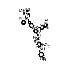 CNS(=O)(=O)N1CCN(C2CC3(CCN(c4ccc(C(=O)NS(=O)(=O)c5cnc(NCC6CCC(C)(O)CC6)c([N+](=O)[O-])c5)c(Oc5cc6c(F)c[nH]c6nc5OC)c4)CC3)C2)[C@H](c2ccccc2C(C)C)C1